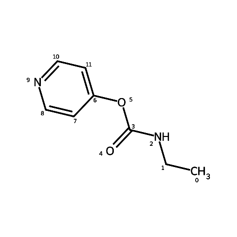 CCNC(=O)Oc1ccncc1